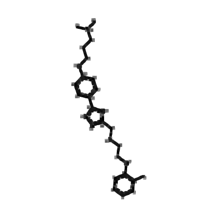 Cc1ccccc1OCCSCc1nnc(-c2ccc(OCCCN(C)C)cc2)o1